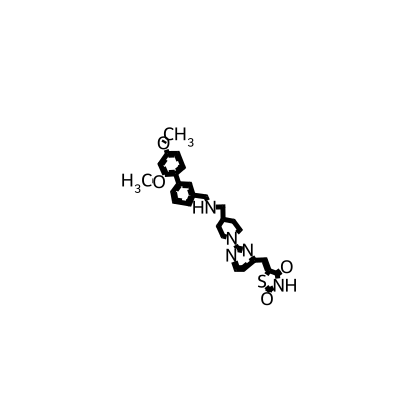 COc1ccc(-c2cccc(CNCC3CCN(c4nccc(/C=C5\SC(=O)NC5=O)n4)CC3)c2)c(OC)c1